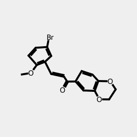 COc1ccc(Br)cc1/C=C/C(=O)c1ccc2c(c1)OCCO2